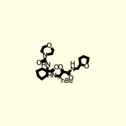 CCCC[C@H](NC(=O)C1(NC(=O)N2CCOCC2)CCCCC1)C(=O)C(=O)NCC1CCCO1